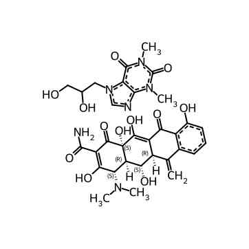 C=C1c2cccc(O)c2C(=O)C2=C(O)[C@]3(O)C(=O)C(C(N)=O)=C(O)[C@@H](N(C)C)[C@@H]3[C@@H](O)[C@H]12.Cn1c(=O)c2c(ncn2CC(O)CO)n(C)c1=O